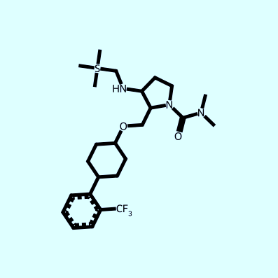 CN(C)C(=O)N1CCC(NCS(C)(C)C)C1COC1CCC(c2ccccc2C(F)(F)F)CC1